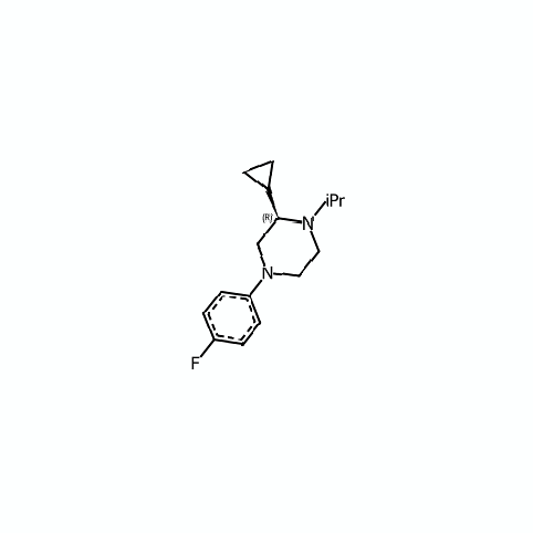 CC(C)N1CCN(c2ccc(F)cc2)C[C@H]1C1CC1